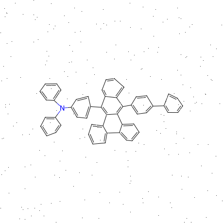 c1ccc(-c2ccc(-c3c4ccccc4c(-c4ccc(N(c5ccccc5)c5ccccc5)cc4)c4c5ccccc5c5ccccc5c34)cc2)cc1